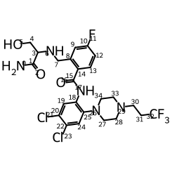 NC(=O)C(CO)NCc1cc(F)ccc1C(=O)Nc1cc(Cl)c(Cl)cc1N1CCN(CCC(F)(F)F)CC1